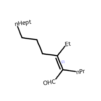 CCCCCCCCCC/C(CC)=C(\C=O)CCC